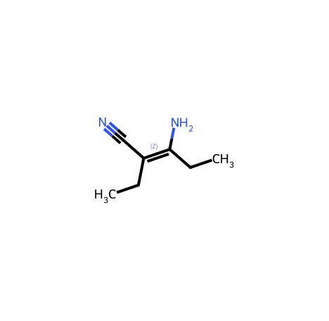 CC/C(N)=C(/C#N)CC